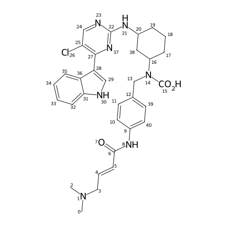 CN(C)CC=CC(=O)Nc1ccc(CN(C(=O)O)C2CCCC(Nc3ncc(Cl)c(-c4c[nH]c5ccccc45)n3)C2)cc1